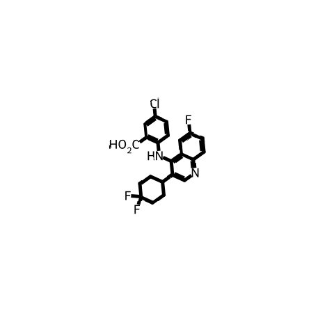 O=C(O)c1cc(Cl)ccc1Nc1c(C2CCC(F)(F)CC2)cnc2ccc(F)cc12